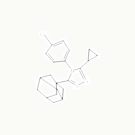 Clc1ccc(-n2c(C3CC3)nnc2C23CC4CC(CC(C4)C2)C3)cc1